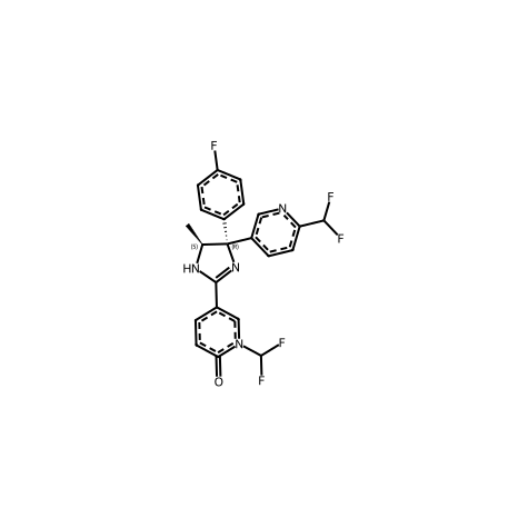 C[C@@H]1NC(c2ccc(=O)n(C(F)F)c2)=N[C@]1(c1ccc(F)cc1)c1ccc(C(F)F)nc1